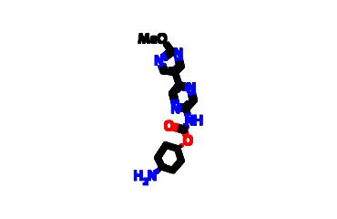 COc1ncc(-c2cnc(NC(=O)O[C@H]3CC[C@H](N)CC3)cn2)cn1